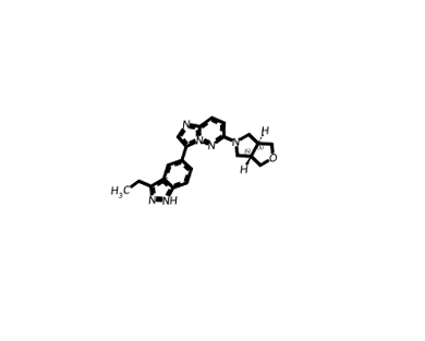 CCc1n[nH]c2ccc(-c3cnc4ccc(N5C[C@H]6COC[C@@H]6C5)nn34)cc12